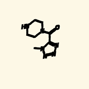 Cn1nnnc1C(=O)N1CCNCC1